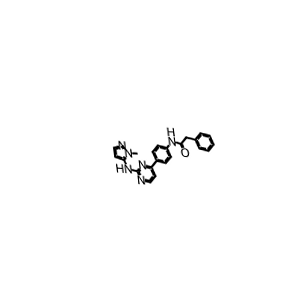 Cn1nccc1Nc1nccc(-c2ccc(NC(=O)Cc3ccccc3)cc2)n1